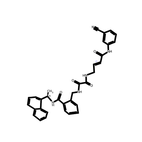 C[C@@H](NC(=O)c1ccccc1CNC(=O)C(=O)NC/C=C/C(=O)Nc1cccc(C#N)c1)c1cccc2ccccc12